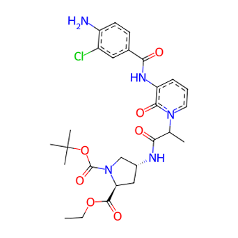 CCOC(=O)[C@@H]1C[C@@H](NC(=O)C(C)n2cccc(NC(=O)c3ccc(N)c(Cl)c3)c2=O)CN1C(=O)OC(C)(C)C